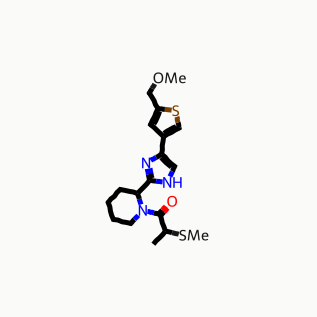 COCc1cc(-c2c[nH]c(C3CCCCN3C(=O)C(C)SC)n2)cs1